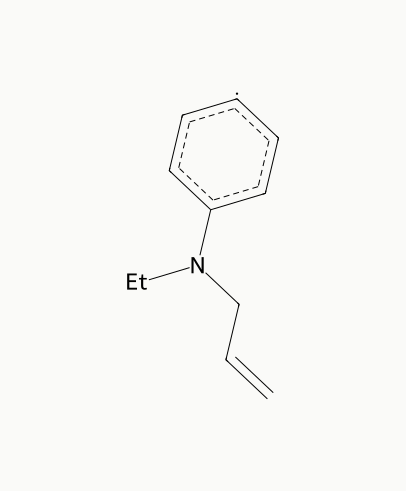 C=CCN(CC)c1cc[c]cc1